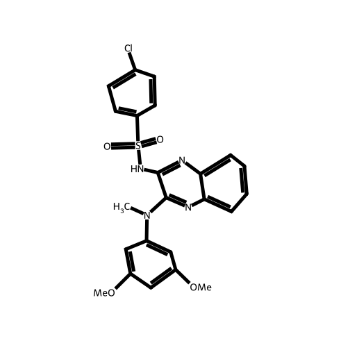 COc1cc(OC)cc(N(C)c2nc3ccccc3nc2NS(=O)(=O)c2ccc(Cl)cc2)c1